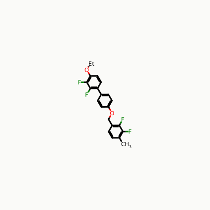 CCOc1ccc(-c2ccc(OCc3ccc(C)c(F)c3F)cc2)c(F)c1F